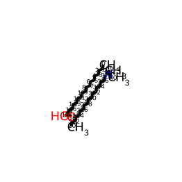 CCCCCCCCC=CCCCCCCCC(=O)O.CCCCCCCCCCCCCCCCCCN(C)C